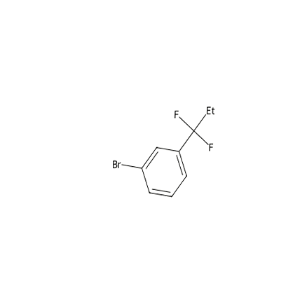 CCC(F)(F)c1cccc(Br)c1